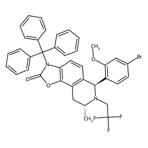 COc1cc(Br)ccc1[C@@H]1c2ccc3c(oc(=O)n3C(c3ccccc3)(c3ccccc3)c3ccccc3)c2C[C@@H](C)N1CC(F)(F)F